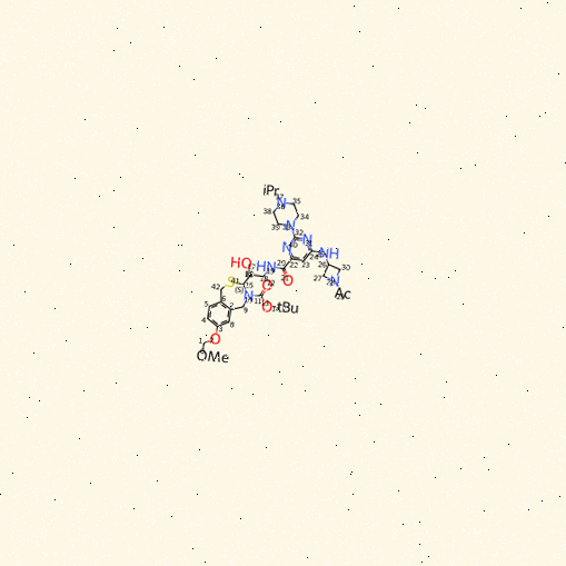 COCOc1ccc2c(c1)CN(C(=O)OC(C)(C)C)[C@H]([C@H](O)CNC(=O)c1cc(NC3CN(C(C)=O)C3)nc(N3CCN(C(C)C)CC3)n1)SC2